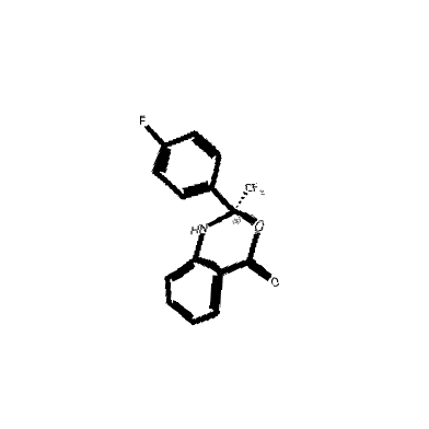 O=C1O[C@@](c2ccc(F)cc2)(C(F)(F)F)Nc2ccccc21